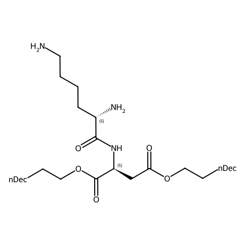 CCCCCCCCCCCCOC(=O)C[C@H](NC(=O)[C@@H](N)CCCCN)C(=O)OCCCCCCCCCCCC